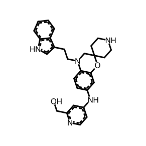 OCc1cc(Nc2ccc3c(c2)OC2(CCNCC2)CN3CCc2c[nH]c3ccccc23)ccn1